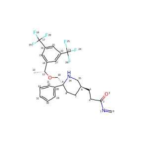 C=NC(=O)CC[C@H]1CC[C@@](CO[C@H](C)c2cc(C(F)(F)F)cc(C(F)(F)F)c2)(c2ccccc2)NC1